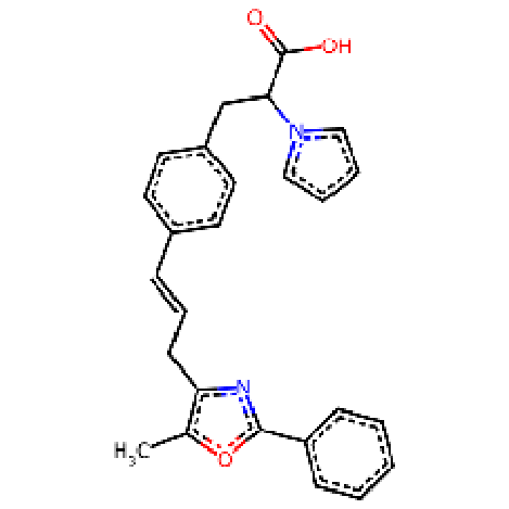 Cc1oc(-c2ccccc2)nc1CC=Cc1ccc(CC(C(=O)O)n2cccc2)cc1